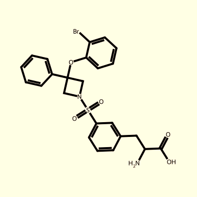 NC(Cc1cccc(S(=O)(=O)N2CC(Oc3ccccc3Br)(c3ccccc3)C2)c1)C(=O)O